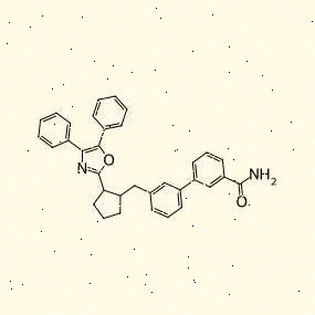 NC(=O)c1cccc(-c2cccc(CC3CCCC3c3nc(-c4ccccc4)c(-c4ccccc4)o3)c2)c1